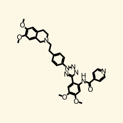 COc1cc2c(cc1OC)CN(CCc1ccc(-n3nnc(-c4cc(OC)c(OC)cc4NC(=O)c4ccncc4)n3)cc1)CC2